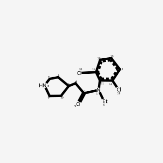 CCN(C(=O)CC1CCNCC1)c1c(Cl)cccc1Cl